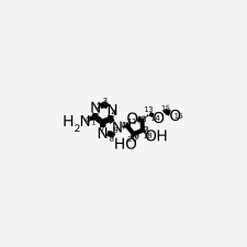 Nc1ncnc2c1ncn2[C@@H]1O[C@H](COC=O)[C@@H](O)[C@H]1O